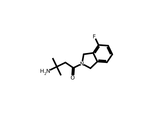 CC(C)(N)CC(=O)N1Cc2cccc(F)c2C1